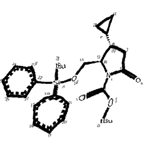 CC(C)(C)OC(=O)N1C(=O)C[C@@H](C2CC2)[C@@H]1CO[Si](c1ccccc1)(c1ccccc1)C(C)(C)C